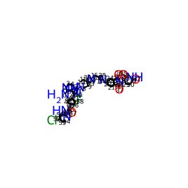 Nc1nccn2c(N3CCC4(CC3)CN(CC3CN(c5ccc6c(c5)C(=O)N(C5CCC(=O)NC5=O)C6=O)C3)C4)nc(-c3ccc(C(=O)Nc4cc(Cl)ccn4)cc3F)c12